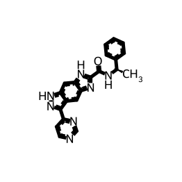 C[C@@H](NC(=O)c1nc2cc3c(-c4ccncn4)n[nH]c3cc2[nH]1)c1ccccc1